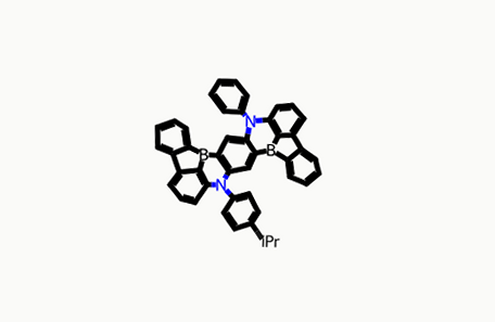 CC(C)c1ccc(N2c3cc4c(cc3B3c5ccccc5-c5cccc2c53)N(c2ccccc2)c2cccc3c2B4c2ccccc2-3)cc1